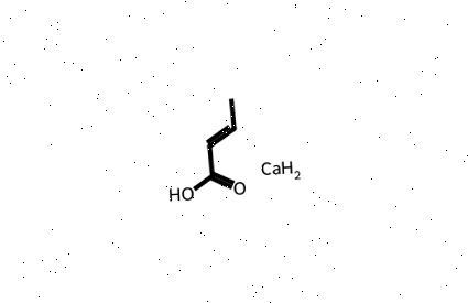 CC=CC(=O)O.[CaH2]